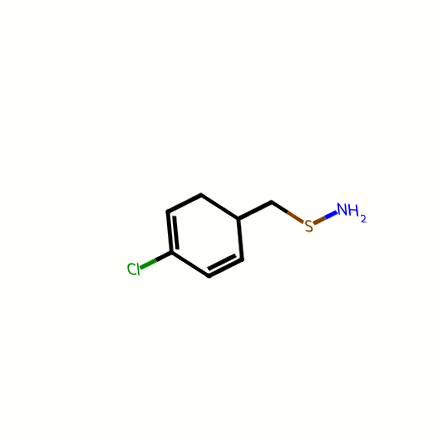 NSCC1C=CC(Cl)=CC1